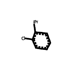 [CH2]C(C)c1ccccc1Cl